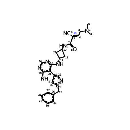 CN(C)C/C=C(\C#N)C(=O)N[C@H]1C[C@@H](Nc2ncnc(N)c2-c2cnn(Cc3ccccc3)c2)C1